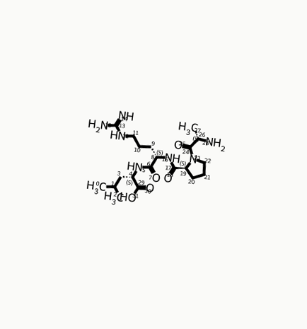 CC(C)C[C@H](NC(=O)[C@H](CCCNC(=N)N)NC(=O)[C@@H]1CCCN1C(=O)[C@H](C)N)C(=O)O